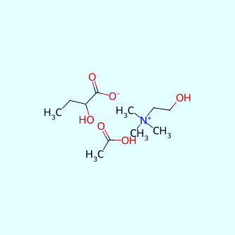 CC(=O)O.CCC(O)C(=O)[O-].C[N+](C)(C)CCO